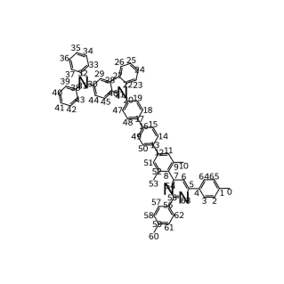 Cc1ccc(-c2cc(-c3c(C)cc(-c4ccc(-c5ccc(-n6c7ccccc7c7cc(N(c8ccccc8)c8ccccc8)ccc76)cc5)cc4)cc3C)nc(-c3ccc(C)cc3)n2)cc1